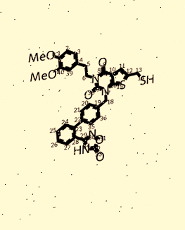 COc1ccc(CCn2c(=O)c3cc(CS)sc3n(Cc3ccc(-c4ccccc4-c4noc(=O)[nH]4)cc3)c2=O)cc1OC